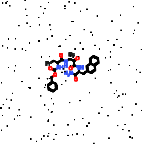 CC[C@H](C)C(NC(=O)[C@H](CC(C)C)NC(=O)OCc1ccccc1)C(=O)C(=O)N[C@@H](Cc1ccc2ccccc2c1)C(N)=O